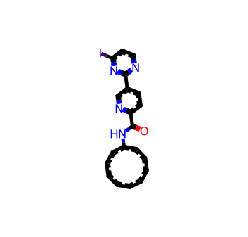 O=C(Nc1ccccccccc1)c1ccc(-c2nccc(I)n2)cn1